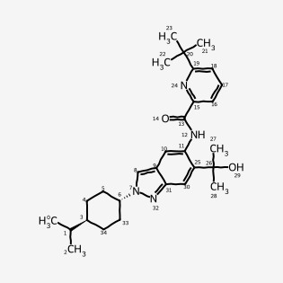 CC(C)[C@H]1CC[C@H](n2cc3cc(NC(=O)c4cccc(C(C)(C)C)n4)c(C(C)(C)O)cc3n2)CC1